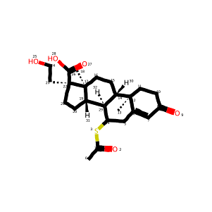 CC(=O)SC1CC2=CC(=O)CC[C@]2(C)[C@H]2CC[C@@]3(C)[C@@H](CC[C@@]3(CCO)C(=O)O)[C@H]12